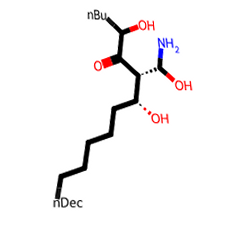 CCCCCCCCCCCCCCC[C@@H](O)[C@H](C(=O)C(O)CCCC)C(N)O